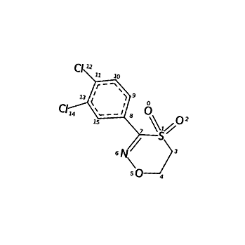 O=S1(=O)CCON=C1c1ccc(Cl)c(Cl)c1